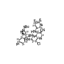 BC(Nc1cc(Cl)c2ncc(C#N)c(Nc3cnc(F)c(F)c3)c2c1)(c1ccc(F)cc1)c1cn(C(C)(C)C)nn1